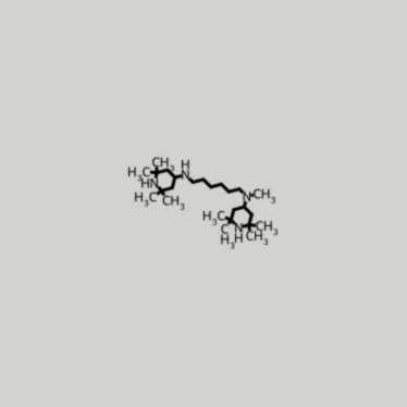 CN(CCCCCCNC1CC(C)(C)NC(C)(C)C1)C1CC(C)(C)NC(C)(C)C1